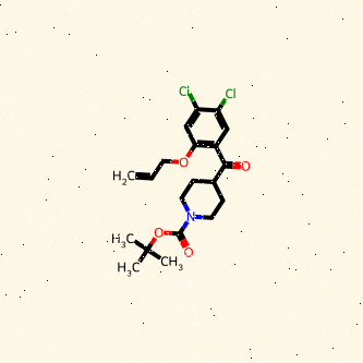 C=CCOc1cc(Cl)c(Cl)cc1C(=O)C1CCN(C(=O)OC(C)(C)C)CC1